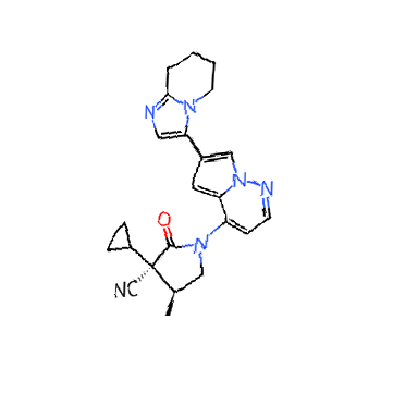 C[C@@H]1CN(c2ccnn3cc(-c4cnc5n4CCCC5)cc23)C(=O)[C@]1(C#N)C1CC1